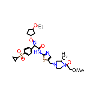 CCO[C@@H]1CC[C@@H](O/N=C(/C(=O)Nc2ncc(CN3CCN(C(=O)COC)[C@@H](C)C3)s2)c2ccc(S(=O)(=O)C3CC3)cc2)C1